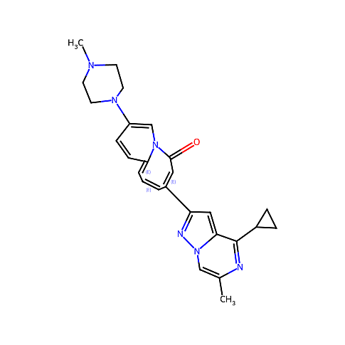 Cc1cn2nc(C3=C\C(=O)N4C=C(N5CCN(C)CC5)C=C\C4=C/C=C/3)cc2c(C2CC2)n1